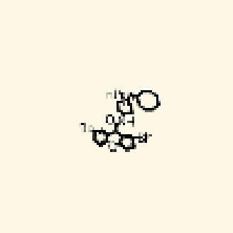 CCC[N+]1(CC2CCCCCCC2)CCC(NC(=O)C2c3cc(Br)ccc3Oc3ccc(Br)cc32)CC1.[I-]